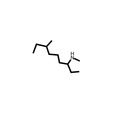 CCC(C)CCCC(CC)NC